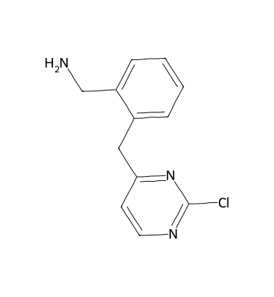 NCc1ccccc1Cc1ccnc(Cl)n1